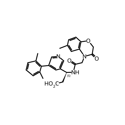 Cc1ccc2c(c1)N(CC(=O)N[C@@H](CC(=O)O)c1cncc(-c3c(C)cccc3C)c1)C(=O)CO2